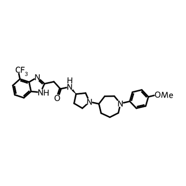 COc1ccc(N2CCCC(N3CC[C@@H](NC(=O)Cc4nc5c(C(F)(F)F)cccc5[nH]4)C3)CC2)cc1